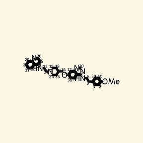 COc1ccc(CCNc2ncnc3cc(OCC4CCN(CCNc5ccnc6ccccc56)CC4)ccc23)cc1